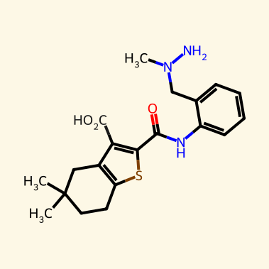 CN(N)Cc1ccccc1NC(=O)c1sc2c(c1C(=O)O)CC(C)(C)CC2